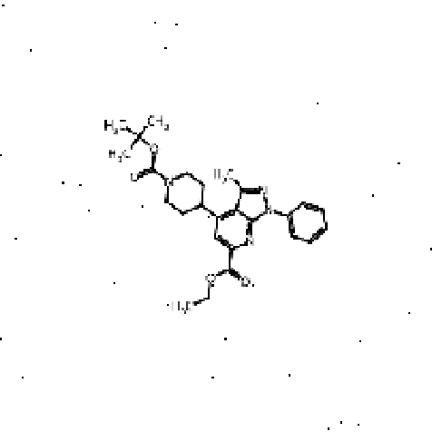 CCOC(=O)c1cc(C2CCN(C(=O)OC(C)(C)C)CC2)c2c(C)nn(-c3ccccc3)c2n1